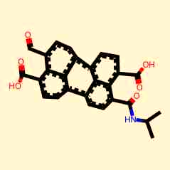 CC(C)NC(=O)c1ccc2c3ccc(C(=O)O)c4c(C=O)ccc(c5ccc(C(=O)O)c1c52)c43